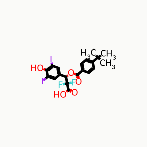 CC(C)(C)c1ccc(C(=O)OC(c2cc(I)c(O)c(I)c2)C(F)(F)C(=O)O)cc1